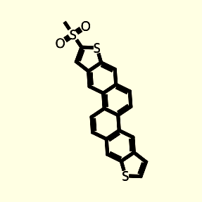 CS(=O)(=O)c1cc2cc3c(ccc4c5cc6ccsc6cc5ccc34)cc2s1